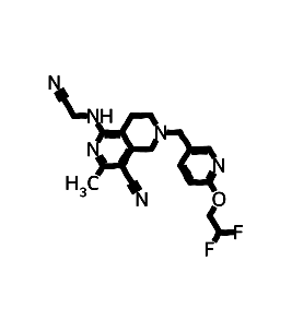 Cc1nc(NCC#N)c2c(c1C#N)CN(Cc1ccc(OCC(F)F)nc1)CC2